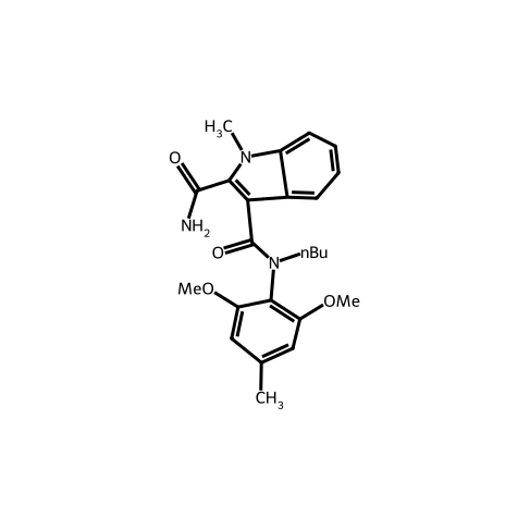 CCCCN(C(=O)c1c(C(N)=O)n(C)c2ccccc12)c1c(OC)cc(C)cc1OC